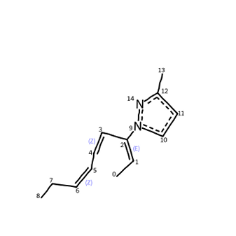 C\C=C(/C=C\C=C/CC)n1ccc(C)n1